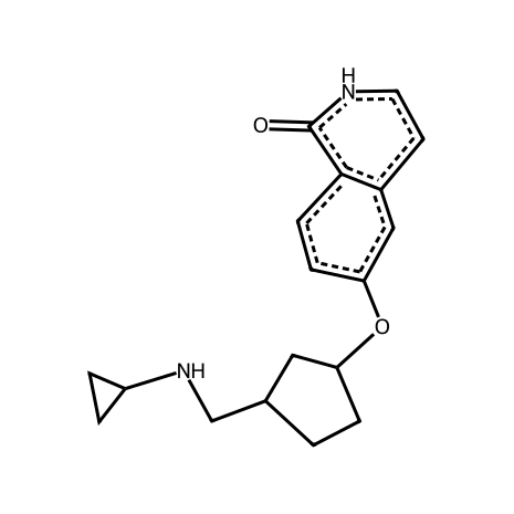 O=c1[nH]ccc2cc(OC3CCC(CNC4CC4)C3)ccc12